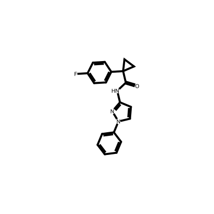 O=C(Nc1ccn(-c2ccccc2)n1)C1(c2ccc(F)cc2)CC1